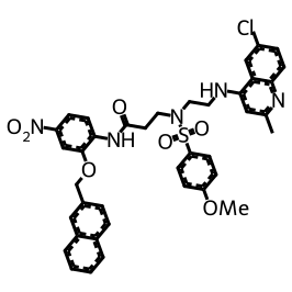 COc1ccc(S(=O)(=O)N(CCNc2cc(C)nc3ccc(Cl)cc23)CCC(=O)Nc2ccc([N+](=O)[O-])cc2OCc2ccc3ccccc3c2)cc1